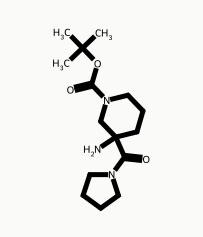 CC(C)(C)OC(=O)N1CCCC(N)(C(=O)N2CCCC2)C1